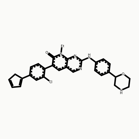 CCn1c(=O)c(-c2ccc(C3=CC=CC3)cc2Cl)cc2cnc(Nc3ccc(C4CNCCO4)cc3)nc21